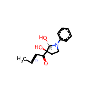 C/C=C/C(=O)C1(O)CCN(c2ccccc2)[C@H]1O